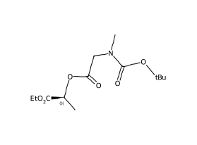 CCOC(=O)[C@H](C)OC(=O)CN(C)C(=O)OC(C)(C)C